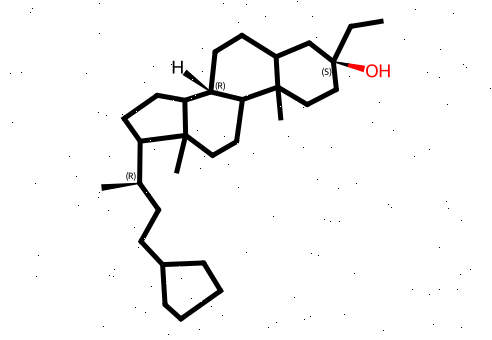 CC[C@]1(O)CCC2(C)C(CC[C@@H]3C2CCC2(C)C3CCC2[C@H](C)CCC2CCCC2)C1